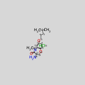 CC(C)CCCOc1ccc2c(c1)N(C)C(=O)[C@@H](N)CO2.Cl